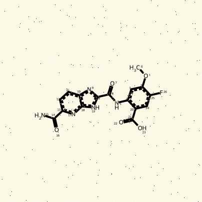 COc1cc(NC(=O)c2nc3ccc(C(N)=O)nc3[nH]2)c(C(=O)O)cc1F